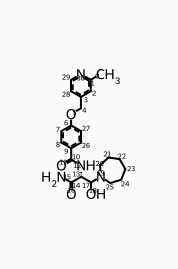 Cc1cc(COc2ccc(C(=O)N[C@@H](C(N)=O)C(O)N3CCCCCC3)cc2)ccn1